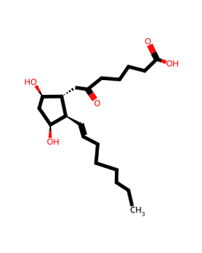 CCCCCC/C=C/[C@@H]1[C@@H](CC(=O)CCCCC(=O)O)[C@H](O)C[C@@H]1O